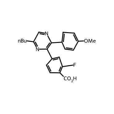 CCCCc1cnc(-c2ccc(OC)cc2)c(-c2ccc(C(=O)O)c(F)c2)n1